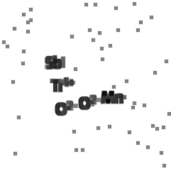 [Mn].[O-2].[O-2].[Sb].[Ti+4]